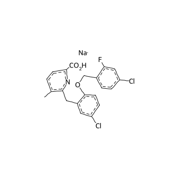 Cc1ccc(C(=O)O)nc1Cc1cc(Cl)ccc1OCc1ccc(Cl)cc1F.[Na]